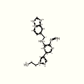 N=Nc1ncc(-c2cnn(CCO)c2)nc1NCc1ccn2ncnc2c1